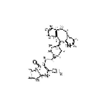 Cc1nc2n(c(=O)c1CCN1CCC(=C3c4sccc4CCn4ccnc43)CC1)CCS2